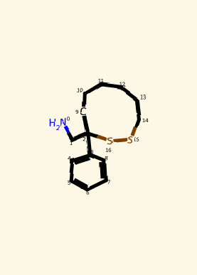 NCC1(c2ccccc2)CCCCCCSS1